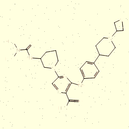 CN(C)C(=O)NC1CCCN(c2cnc(C(N)=O)c(Nc3ccc(C4CCN(C5COC5)CC4)cc3)n2)C1